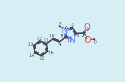 COC(=O)c1cn(C)c(C=Cc2ccccc2)n1